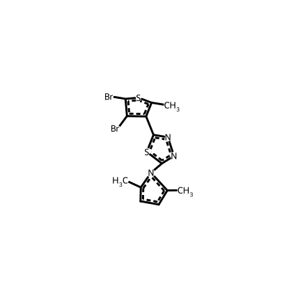 Cc1sc(Br)c(Br)c1-c1nnc(-n2c(C)ccc2C)s1